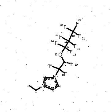 CC[n+]1ccn(C(F)(F)C(F)OC(F)(F)C(F)(F)C(F)(F)F)c1